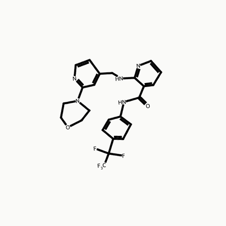 O=C(Nc1ccc(C(F)(F)C(F)(F)F)cc1)c1cccnc1NCc1ccnc(N2CCOCC2)c1